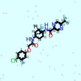 O=C(COc1ccc(Cl)c(F)c1)NC12CCC(NC(=O)c3cnc(C(F)F)cn3)(CC1)[C@@H](F)C2